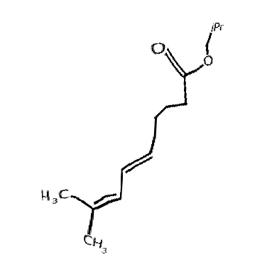 CC(C)=CC=CCCC(=O)OC(C)C